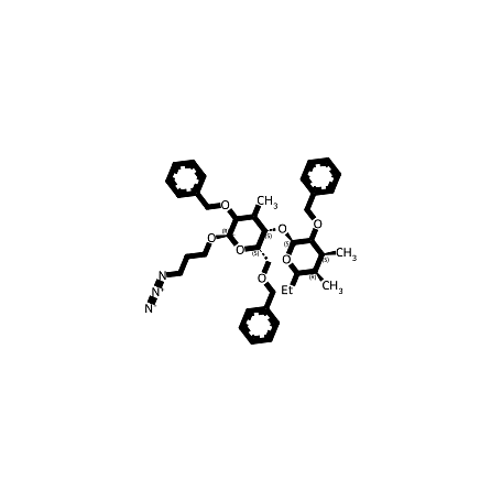 CCC1O[C@@H](O[C@H]2C(C)C(OCc3ccccc3)[C@H](OCCCN=[N+]=[N-])O[C@H]2COCc2ccccc2)C(OCc2ccccc2)[C@@H](C)[C@H]1C